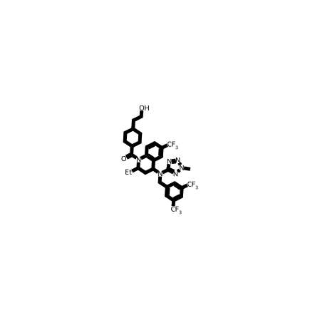 CCC1CC(N(Cc2cc(C(F)(F)F)cc(C(F)(F)F)c2)c2nnn(C)n2)c2cc(C(F)(F)F)ccc2N1C(=O)C1CCC(CCO)CC1